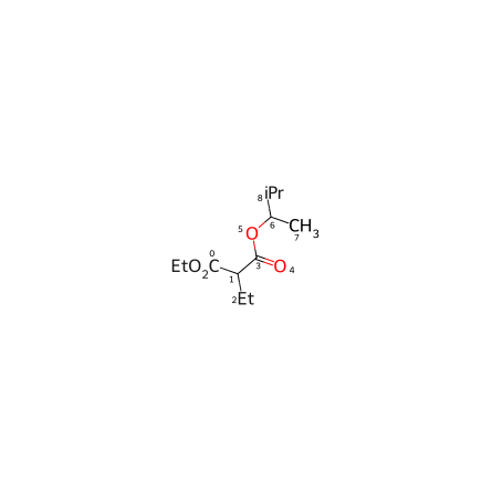 CCOC(=O)C(CC)C(=O)OC(C)C(C)C